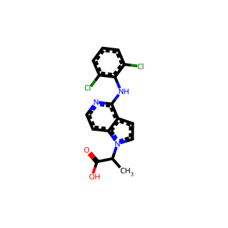 CC(C(=O)O)n1ccc2c(Nc3c(Cl)cccc3Cl)nccc21